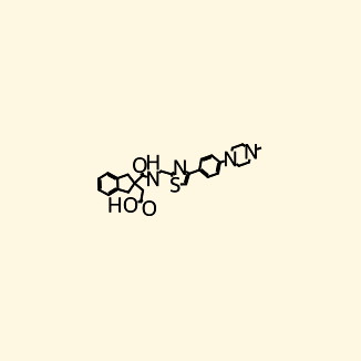 CN1CCN(c2ccc(-c3csc(CNC(=O)C4(CC(=O)O)Cc5ccccc5C4)n3)cc2)CC1